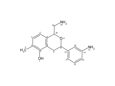 Cc1ccc2c(c1O)CC(c1cccc(N)c1)OC2CN